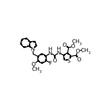 COC(=O)c1scc(NC(=O)Nc2cc(Cn3ccc4ccccc43)c(OC)cc2F)c1C(=O)OC